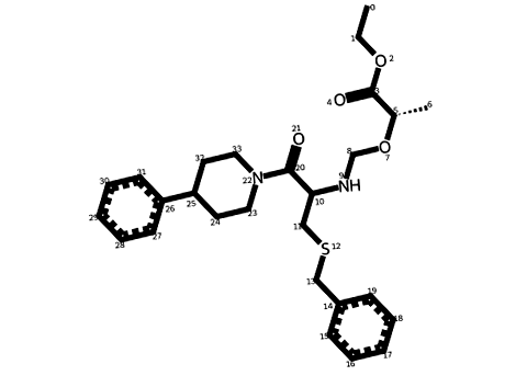 CCOC(=O)[C@H](C)OCNC(CSCc1ccccc1)C(=O)N1CCC(c2ccccc2)CC1